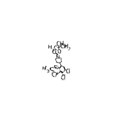 COc1c(C2CCN(C(=O)OC(C)(C)C)CC2)cc(Cl)c(Cl)c1Cl